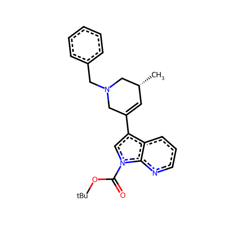 C[C@@H]1C=C(c2cn(C(=O)OC(C)(C)C)c3ncccc23)CN(Cc2ccccc2)C1